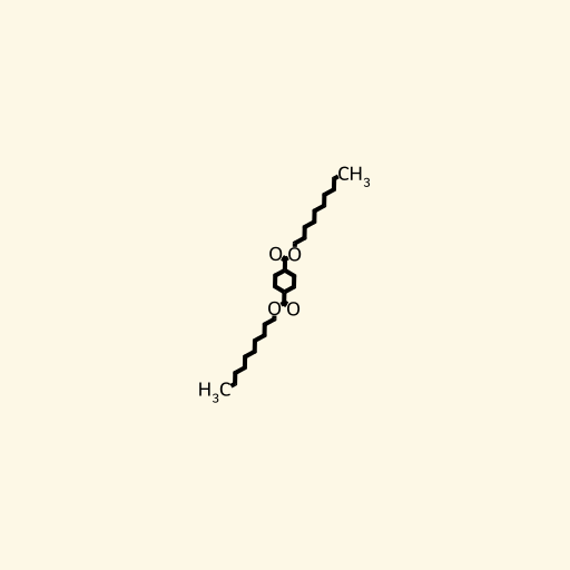 CCCCCCCCCCOC(=O)C1CCC(C(=O)OCCCCCCCCCC)CC1